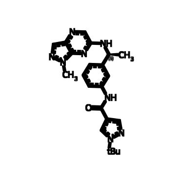 C[C@H](Nc1cnc2cnn(C)c2n1)c1cccc(NC(=O)c2cnn(C(C)(C)C)c2)c1